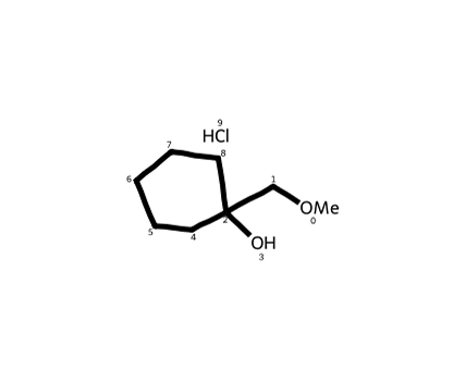 COCC1(O)CCCCC1.Cl